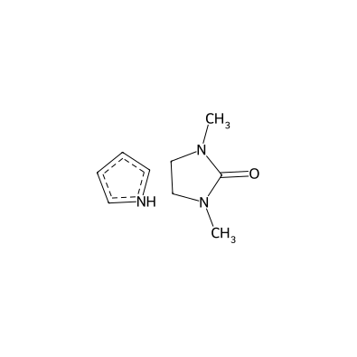 CN1CCN(C)C1=O.c1cc[nH]c1